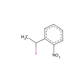 CC(I)c1ccccc1[N+](=O)[O-]